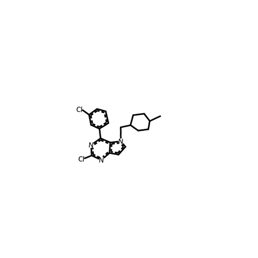 CC1CCC(Cn2ccc3nc(Cl)nc(-c4cccc(Cl)c4)c32)CC1